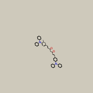 CC1CC(/C=C/C(=O)CC(=O)/C=C/c2ccc(N(c3ccccc3)c3ccccc3)cc2)=CC=C1N(c1ccccc1)c1ccccc1